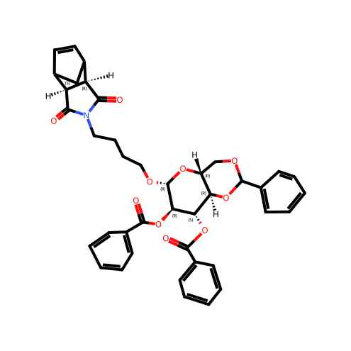 O=C(O[C@@H]1[C@@H](OC(=O)c2ccccc2)[C@H](OCCCCN2C(=O)[C@@H]3C4C=CC(C4)[C@@H]3C2=O)O[C@@H]2COC(c3ccccc3)O[C@@H]12)c1ccccc1